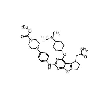 CN(C)[C@H]1CC[C@H](Oc2nc(Nc3ccc(N4CCN(C(=O)OC(C)(C)C)CC4)cc3)nc3sc4c(c23)C(CC(N)=O)CC4)CC1